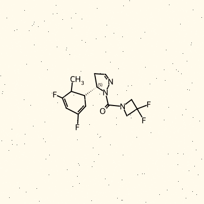 CC1C(F)=CC(F)=CC1[C@@H]1CC=NN1C(=O)N1CC(F)(F)C1